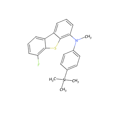 CN(c1ccc([Si](C)(C)C)cc1)c1cccc2c1sc1c(F)cccc12